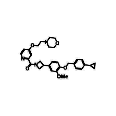 COc1cc(C2CN(C(=O)c3cc(OCCN4CCOCC4)ccn3)C2)ccc1OCc1ccc(C2CC2)cc1